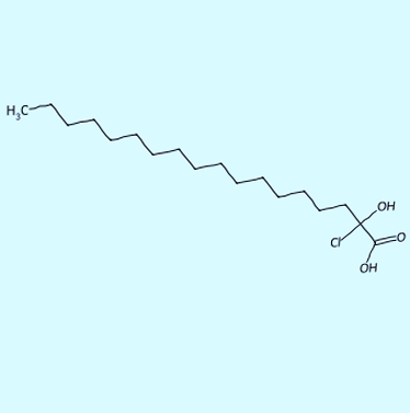 CCCCCCCCCCCCCCCCC(O)(Cl)C(=O)O